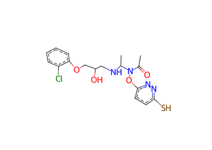 CC(=O)N(Oc1ccc(S)nn1)C(C)NCC(O)COc1ccccc1Cl